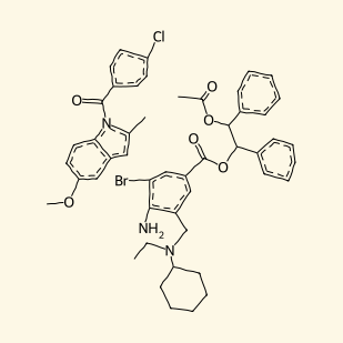 CCN(Cc1cc(C(=O)OC(c2ccccc2)C(OC(C)=O)c2ccccc2)cc(Br)c1N)C1CCCCC1.COc1ccc2c(c1)cc(C)n2C(=O)c1ccc(Cl)cc1